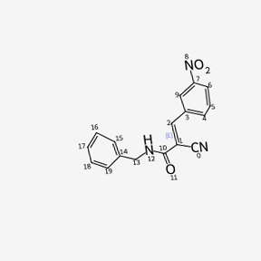 N#C/C(=C\c1cccc([N+](=O)[O-])c1)C(=O)NCc1ccccc1